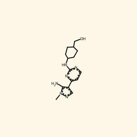 Cn1ncc(-c2ccnc(NC3CCC(CO)CC3)n2)c1N